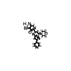 Nc1cnn(-c2cc(N3CCOCC3)n3nc(-c4ccncc4)cc3n2)c(=O)c1Br